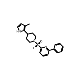 Cc1cc[nH]c1C1CCN(S(=O)(=O)c2cccc(-c3ccccc3)n2)CC1